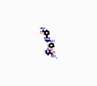 CN(C)C(=O)c1cccc(-c2nccc(N[C@H]3CC[C@H](Oc4ncccc4C(N)=O)CC3)n2)c1